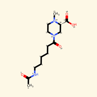 CC(=O)NCCCCCC(=O)N1CCN(C)[C@H](C(=O)O)C1